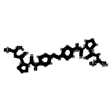 CC(C)CC(=O)N1CCC[C@H]1C(=O)Nc1ccc(/C=C/c2ccc(NC(=O)[C@@H]3CCCN3C(=O)CC(C)C)cc2)cc1